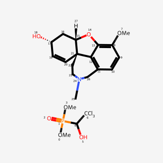 COP(=O)(OC)C(O)C(Cl)(Cl)Cl.COc1ccc2c3c1O[C@H]1C[C@@H](O)C=C[C@@]31CCN(C)C2